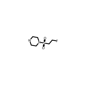 O=S(=O)(CCF)N1CC[N]CC1